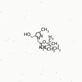 Cc1cc(CO)n(C[C@H](C)O[Si](C)(C)C(C)(C)C)n1